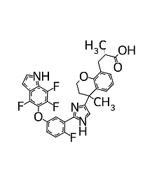 C[C@@H](Cc1cccc2c1OCCC2(C)c1c[nH]c(-c2cc(Oc3c(F)c(F)c4[nH]ccc4c3F)ccc2F)n1)C(=O)O